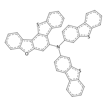 c1ccc2c(c1)oc1cc(N(c3ccc4c(c3)sc3ccccc34)c3ccc4c(c3)sc3ccccc34)c3c4ccccc4sc3c12